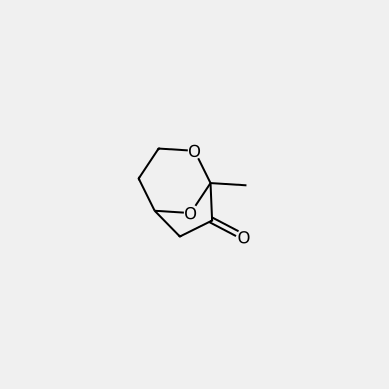 CC12OCCC(CC1=O)O2